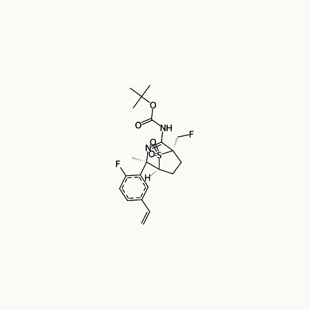 C=Cc1ccc(F)c([C@@]2(C)N=C(NC(=O)OC(C)(C)C)[C@@]3(CF)CC[C@@H]2S3(=O)=O)c1